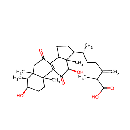 C=C(CC[C@@H](C)C1CCC2C3=C(C(=O)[C@H](O)C21C)C1(C)CC[C@@H](O)[C@@H](C)C1(C)CC3=O)C(C)C(=O)O